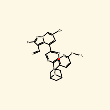 COc1ccc(CN2C3CC2CN(c2cnc(-c4cc(O)cn5nc(F)c(C=O)c45)cn2)C3)cn1